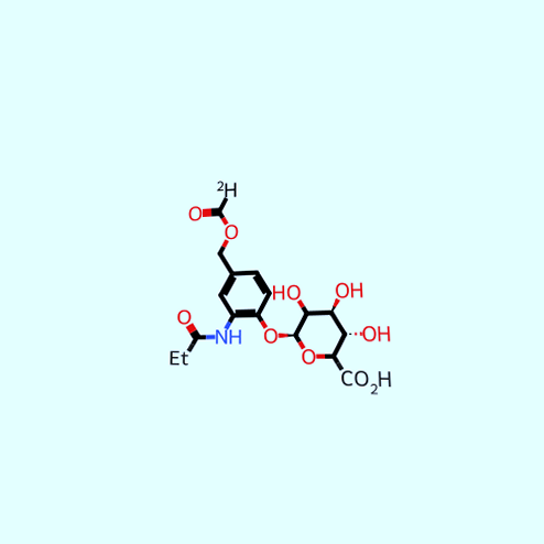 [2H]C(=O)OCc1ccc(O[C@@H]2OC(C(=O)O)[C@@H](O)[C@H](O)C2O)c(NC(=O)CC)c1